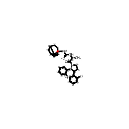 C[C@H](NC(=O)NC1C2CCC3CC(C2)CC1C3)C(=O)N1CCC(c2ccccc2Cl)N1c1ccccc1F